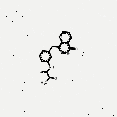 CC(Cl)C(=O)Nc1cccc(Cc2n[nH]c(=O)c3ccccc23)c1